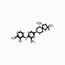 CC1(F)C[C@@H](N)C2(CCN(c3cnc(Sc4ccnc(N)c4Cl)c(N)n3)CC2)C1